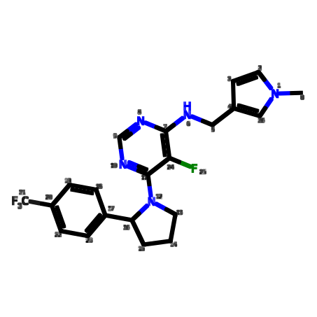 Cn1ccc(CNc2ncnc(N3CCCC3c3ccc(C(F)(F)F)cc3)c2F)c1